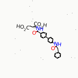 O=C(O)CC[C@H](NC(=O)c1ccc(-c2ccc(NC(=O)Cc3ccccc3)cc2)cc1)C(=O)O